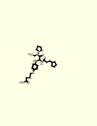 CCN(C(=O)C(NC(=O)CCC1CCCC1)Nc1ccc(OCCCC(=O)O)cc1)N1CCCC1